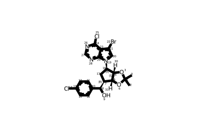 CC1(C)O[C@@H]2[C@H](O1)[C@@H](C(O)c1ccc(Cl)cc1)C[C@H]2n1cc(Br)c2c(Cl)ncnc21